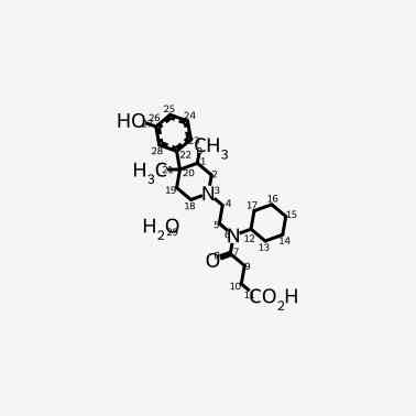 CC1CN(CCN(C(=O)CCC(=O)O)C2CCCCC2)CCC1(C)c1cccc(O)c1.O